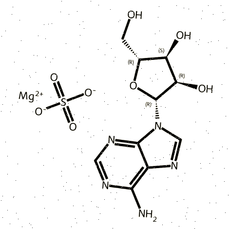 Nc1ncnc2c1ncn2[C@@H]1O[C@H](CO)[C@@H](O)[C@H]1O.O=S(=O)([O-])[O-].[Mg+2]